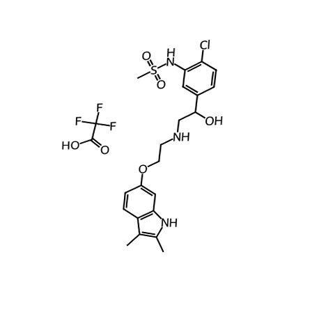 Cc1[nH]c2cc(OCCNCC(O)c3ccc(Cl)c(NS(C)(=O)=O)c3)ccc2c1C.O=C(O)C(F)(F)F